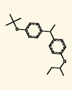 CCC(C)Oc1ccc(C(C)c2ccc(OC(C)(C)C)cc2)cc1